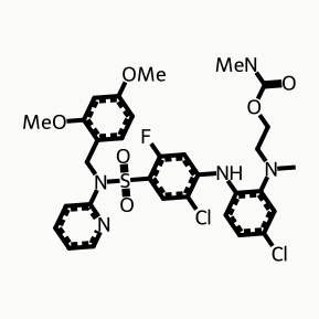 CNC(=O)OCCN(C)c1cc(Cl)ccc1Nc1cc(F)c(S(=O)(=O)N(Cc2ccc(OC)cc2OC)c2ccccn2)cc1Cl